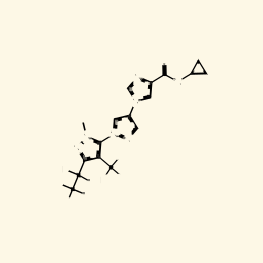 Cn1nc(C(F)(F)C(F)(F)F)c(C(F)(F)F)c1-n1cc(-n2cnc(C(=O)NC3CC3)c2)cn1